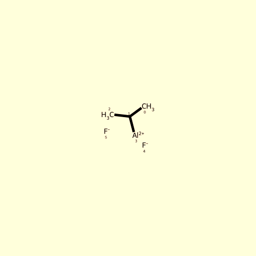 C[CH](C)[Al+2].[F-].[F-]